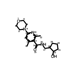 Cc1cc(N2CCOCC2)nc(C)c1C(=O)NCC1CCCC1O